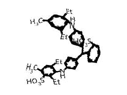 CCc1cc(C)cc(CC)c1Nc1ccc(C(c2ccc(Nc3c(CC)cc(C)c(S(=O)(=O)O)c3CC)cc2)c2ccccc2S(=O)(=O)O)cc1